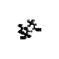 CC(OC(=O)[O-])S(=O)(=O)O.C[N+](C)(C)CCO